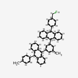 Cc1ccc(-c2c3ccccc3c(-c3cc(C)cc(-c4c5ccccc5c(-c5ccc(CF)cc5)c5ccccc45)c3)c3ccccc23)cc1